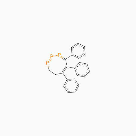 c1ccc(C2=PP=PCCC(c3ccccc3)=C2c2ccccc2)cc1